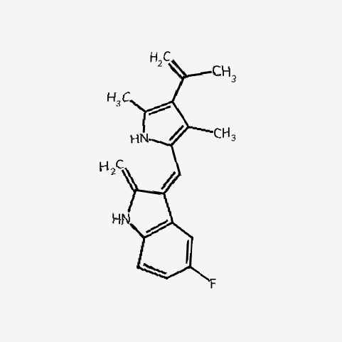 C=C(C)c1c(C)[nH]c(/C=c2\c(=C)[nH]c3ccc(F)cc23)c1C